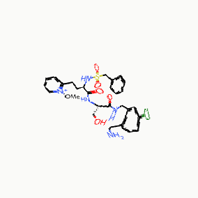 CO[n+]1ccccc1CC[C@@H](NS(=O)(=O)Cc1ccccc1)C(=O)N[C@@H](CO)C(=O)NCc1cc(Cl)ccc1CN